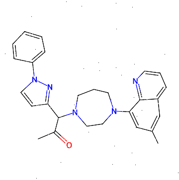 CC(=O)C(c1ccn(-c2ccccc2)n1)N1CCCN(c2cc(C)cc3cccnc23)CC1